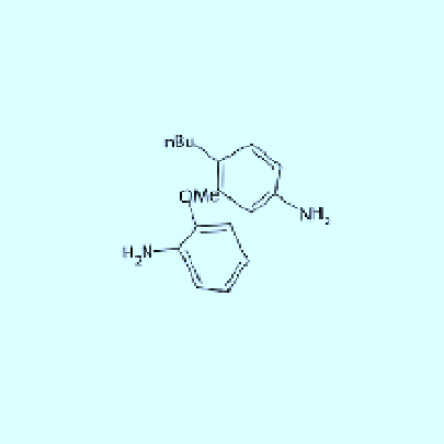 CCCCc1ccc(N)cc1.COc1ccccc1N